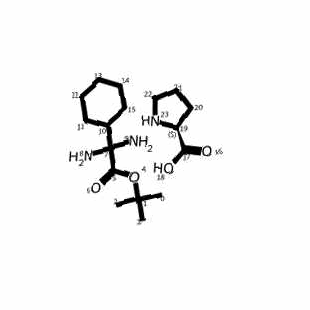 CC(C)(C)OC(=O)C(N)(N)C1CCCCC1.O=C(O)[C@@H]1CCCN1